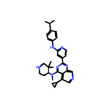 CC(C)c1ccc(Nc2cc(-c3nc(N(C)C4CCNCC4(C)C)c4c(C5CC5)cncc4n3)ccn2)cc1